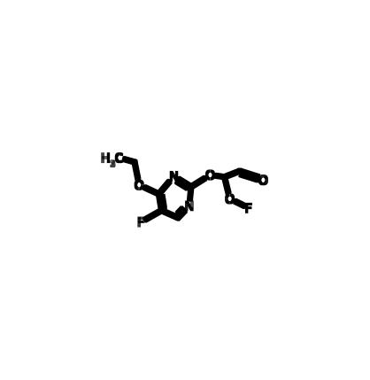 CCOc1nc(OC(C=O)OF)ncc1F